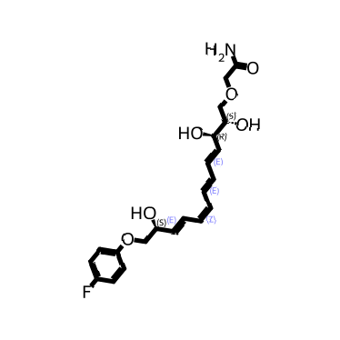 NC(=O)COC[C@H](O)[C@H](O)/C=C/C=C/C=C\C=C\[C@H](O)COc1ccc(F)cc1